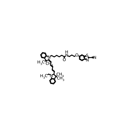 CCN1c2ccccc2C(C)(C)C1/C=C/C=C/C=C1/N(CCCCCC(=O)NCCCOc2ccc3nc(C#N)sc3c2)c2ccccc2C1(C)C